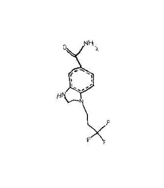 NC(=O)c1ccc2c(c1)NCN2CCC(F)(F)F